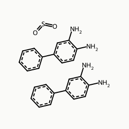 Nc1ccc(-c2ccccc2)cc1N.Nc1ccc(-c2ccccc2)cc1N.O=S=O